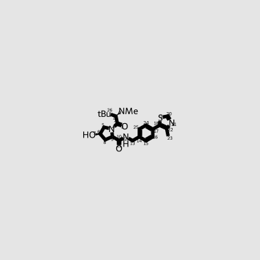 CN[C@H](C(=O)N1C[C@H](O)CC1C(=O)NCc1ccc(-c2scnc2C)cc1)C(C)(C)C